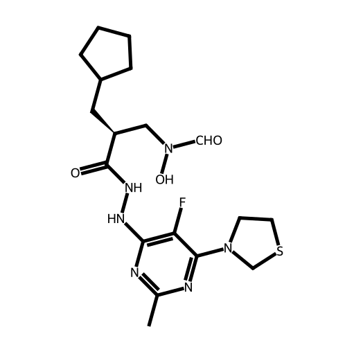 Cc1nc(NNC(=O)[C@@H](CC2CCCC2)CN(O)C=O)c(F)c(N2CCSC2)n1